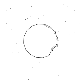 C1=C\SS/N=N/CCCCCCCCCC/1